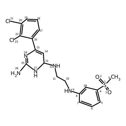 CS(=O)(=O)c1cccc(NCCNC2C=C(c3cccc(Cl)c3Cl)N=C(N)N2)c1